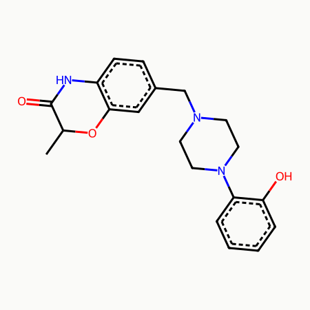 CC1Oc2cc(CN3CCN(c4ccccc4O)CC3)ccc2NC1=O